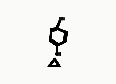 C1CC1.Oc1ccc(O)cc1